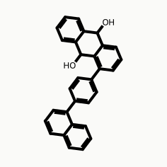 OC1c2ccccc2C(O)c2c(-c3ccc(-c4cccc5ccccc45)cc3)cccc21